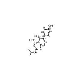 CC(C)Oc1cc(O)c2c(c1)OC=C(c1ccc(O)cc1)C2O